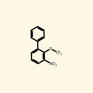 O=[N+]([O-])c1cccc(-c2ccccc2)c1OC(F)(F)F